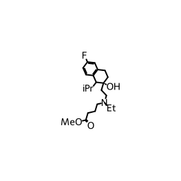 CCN(CCCC(=O)OC)CC[C@@]1(O)CCc2cc(F)ccc2C1C(C)C